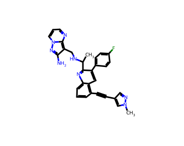 CC(NCc1c(N)nn2cccnc12)c1nc2cccc(C#Cc3cnn(C)c3)c2cc1-c1ccc(F)cc1